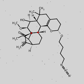 C=C1C(=O)[C@]23[C@H](OC)[C@H]1CC[C@H]2[C@@]12CO[C@@]3(OC)[C@@H](O)[C@@H]1C(C)(C)CC1=C2O[C@@H](OCCCCN=[N+]=[N-])CC1